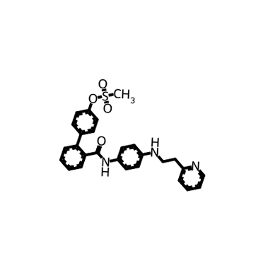 CS(=O)(=O)Oc1ccc(-c2ccccc2C(=O)Nc2ccc(NCCc3ccccn3)cc2)cc1